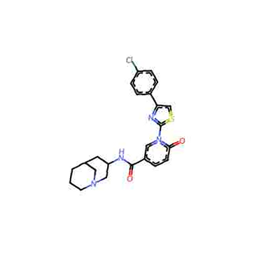 O=C(NC1CC2CCCN(C2)C1)c1ccc(=O)n(-c2nc(-c3ccc(Cl)cc3)cs2)c1